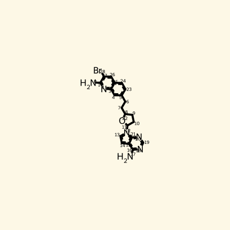 Nc1nc2cc(CCC3CCC(n4ccc5c(N)ncnc54)O3)ccc2cc1Br